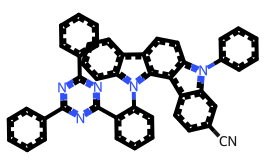 N#Cc1ccc2c3c(ccc4c5ccccc5n(-c5ccccc5-c5nc(-c6ccccc6)nc(-c6ccccc6)n5)c43)n(-c3ccccc3)c2c1